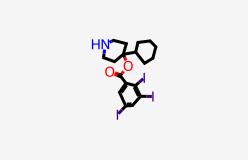 O=C(OC1(C2CCCCC2)CCNCC1)c1cc(I)cc(I)c1I